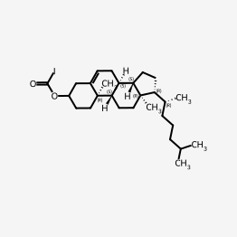 CC(C)CCC[C@@H](C)[C@H]1CC[C@H]2[C@@H]3CC=C4CC(OC(=O)I)CC[C@]4(C)[C@H]3CC[C@]12C